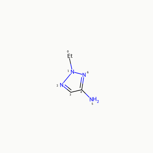 CCn1ncc(N)n1